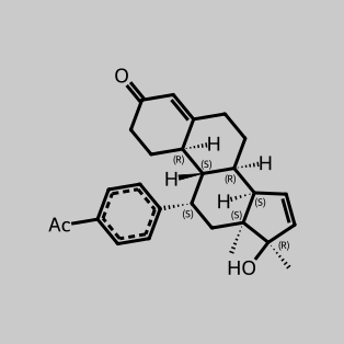 CC(=O)c1ccc([C@H]2C[C@@]3(C)[C@H](C=C[C@@]3(C)O)[C@@H]3CCC4=CC(=O)CC[C@@H]4[C@H]32)cc1